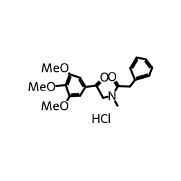 COc1cc(C(=O)CN(C)C(=O)Cc2ccccc2)cc(OC)c1OC.Cl